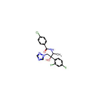 CC(NC(=O)c1ccc(Cl)cc1)C(O)(Cn1cncn1)c1ccc(F)cc1F